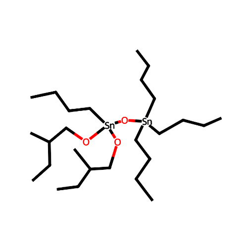 CCC[CH2][Sn]([CH2]CCC)([CH2]CCC)[O][Sn]([CH2]CCC)([O]CC(C)CC)[O]CC(C)CC